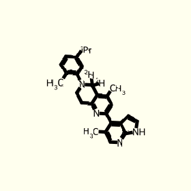 [2H]C1([2H])c2c(C)cc(-c3c(C)cnc4[nH]ccc34)nc2CCN1c1cc(C(C)C)ccc1C